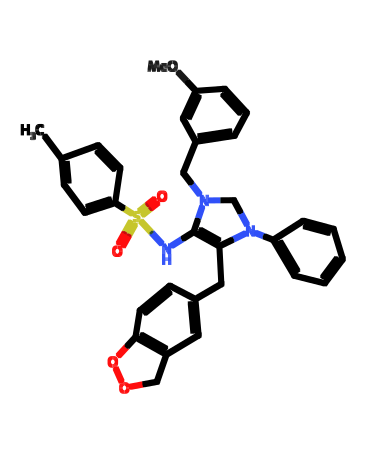 COc1cccc(CN2CN(c3ccccc3)C(Cc3ccc4c(c3)COO4)=C2NS(=O)(=O)c2ccc(C)cc2)c1